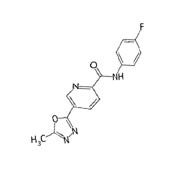 Cc1nnc(-c2ccc(C(=O)Nc3ccc(F)cc3)nc2)o1